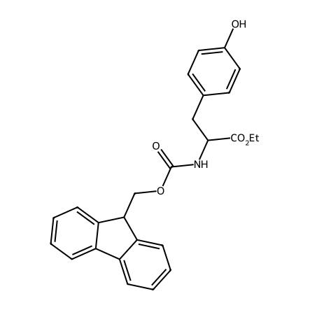 CCOC(=O)C(Cc1ccc(O)cc1)NC(=O)OCC1c2ccccc2-c2ccccc21